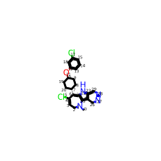 CN1CC=C(Cl)C([C@H]2CC[C@H](Oc3cccc(Cl)c3)CC2)=c2[nH]c3c(c21)CN=NC=3